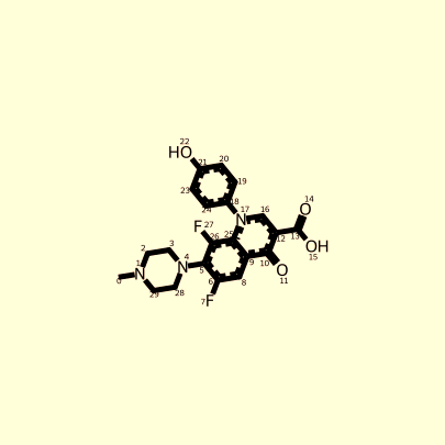 CN1CCN(c2c(F)cc3c(=O)c(C(=O)O)cn(-c4ccc(O)cc4)c3c2F)CC1